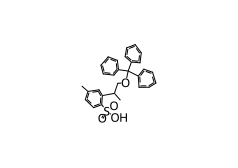 Cc1ccc(S(=O)(=O)O)c(C(C)COC(c2ccccc2)(c2ccccc2)c2ccccc2)c1